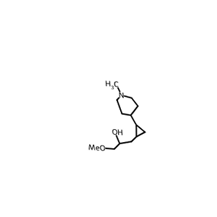 COCC(O)CC1CC1C1CCN(C)CC1